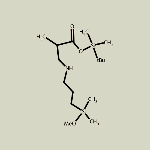 CO[Si](C)(C)CCCNCC(C)C(=O)O[Si](C)(C)C(C)(C)C